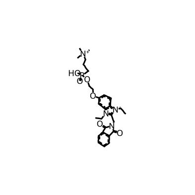 CCn1c(CN2C(=O)c3ccccc3C2=O)[n+](CC)c2ccc(OCCOP(=O)(O)CCC[N+](C)(C)C)cc21